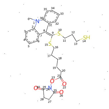 CN1c2ccccc2C(=C(SCCCS)SCCCCCC(=O)ON2C(=O)CCC2=O)c2ccccc21